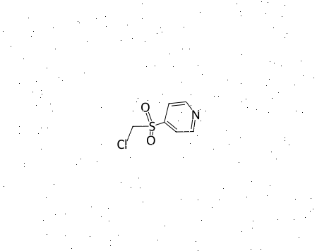 O=S(=O)(CCl)c1ccncc1